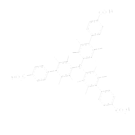 Cc1c(C)c(-c2ccc(C(=O)O)cc2)c(C)c(C)c1B(c1c(C)c(C)c(-c2ccc(C(=O)O)cc2)c(C)c1C)c1c(C)c(C)c(-c2ccc(C(=O)O)cc2)c(C)c1C